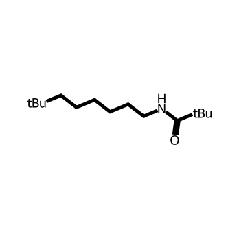 CC(C)(C)CCCCCCNC(=O)C(C)(C)C